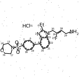 CCc1nc2c(-c3ccc(S(=O)(=O)N4CCOCC4)cc3)cccc2n1C/C(F)=C/CN.Cl